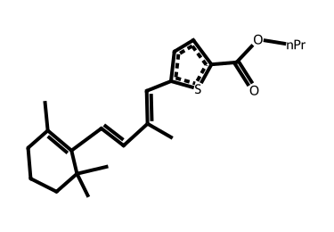 CCCOC(=O)c1ccc(C=C(C)C=CC2=C(C)CCCC2(C)C)s1